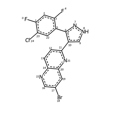 Fc1cc(F)c(-c2n[nH]cc2-c2ccc3ncc(Br)cc3n2)cc1Cl